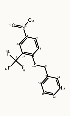 O=[N+]([O-])c1ccc(SCc2cccnc2)c(C(F)(F)F)c1